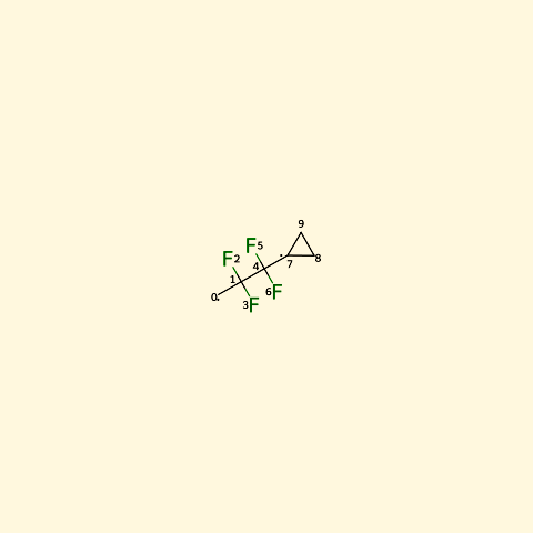 [CH2]C(F)(F)C(F)(F)[C]1CC1